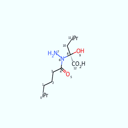 CC(C)CCCC(=O)N(N)[C@](O)(CC(C)C)C(=O)O